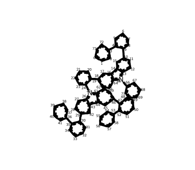 c1ccc(-c2ccccc2-c2ccc3c(c2)c2cc(-c4ccccc4-n4c5ccc(-c6ccccc6-c6ccccc6)cc5c5cc(-c6ccccc6-c6ccccc6)ccc54)ccc2n3-c2ccccc2)cc1